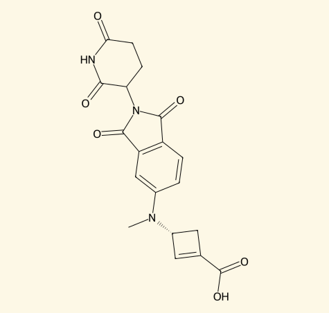 CN(c1ccc2c(c1)C(=O)N(C1CCC(=O)NC1=O)C2=O)[C@H]1C=C(C(=O)O)C1